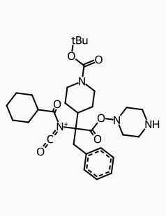 CC(C)(C)OC(=O)N1CCC(C(Cc2ccccc2)(C(=O)ON2CCNCC2)[N+](=C=O)C(=O)C2CCCCC2)CC1